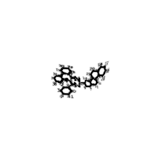 c1ccc(-c2nc(-c3ccc4ccc5c6ccccc6ccc5c4c3)nc(-c3ccccc3-c3ccccc3)n2)cc1